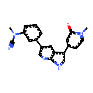 CN(C#N)c1cccc(-c2cnc3[nH]cc(-c4ccn(C)c(=O)c4)c3c2)c1